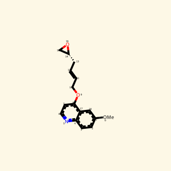 COc1ccc2nccc(OCC=CC[C@@H]3CO3)c2c1